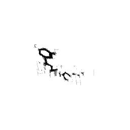 CSNC(=O)[C@H]1C[C@@H](NC(=O)C(C)(O)CC(=N)c2cc(F)cc(F)c2)CO1